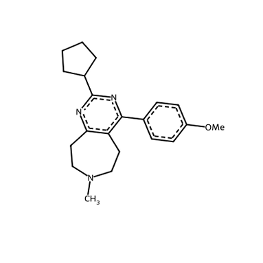 COc1ccc(-c2nc(C3CCCC3)nc3c2CCN(C)CC3)cc1